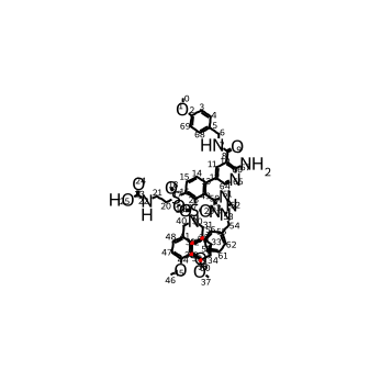 COc1ccc(CNC(=O)c2cc(-c3ccc(S(=O)(=O)CCNC(=O)O)c(S(=O)(=O)N(Cc4ccc(OC)cc4)Cc4ccc(OC)cc4)c3-c3nnn(Cc4ccc(OC)cc4)n3)cnc2N)cc1